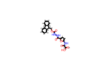 O=C(NNC(=O)c1ccc(NC(=O)C(=O)O)o1)OCC1c2ccccc2-c2ccccc21